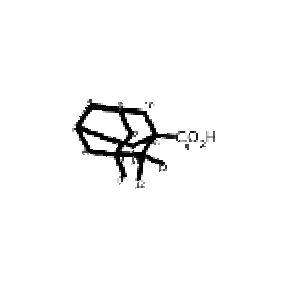 CC12CC3CC(C1)CC(C(=O)O)(C3)C2(C)C